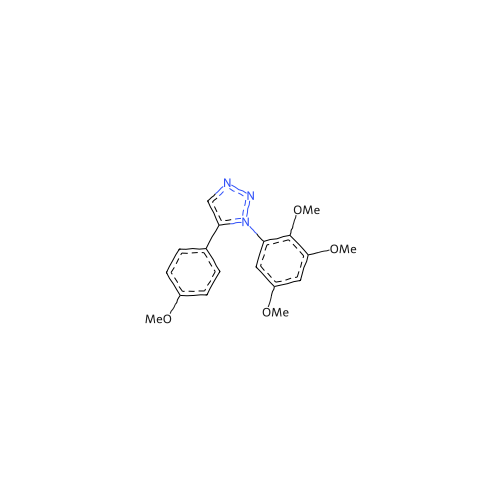 COc1ccc(-c2cnnn2-c2cc(OC)cc(OC)c2OC)cc1